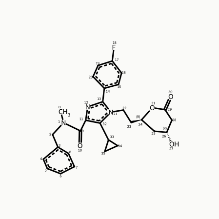 CN(Cc1ccccc1)C(=O)c1nc(-c2ccc(F)cc2)n(CC[C@@H]2C[C@@H](O)CC(=O)O2)c1C1CC1